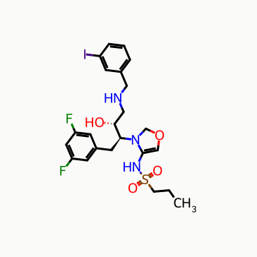 CCCS(=O)(=O)NC1=COCN1[C@@H](Cc1cc(F)cc(F)c1)[C@H](O)CNCc1cccc(I)c1